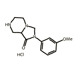 COc1cccc(N2CN3CCNCC3C2=O)c1.Cl